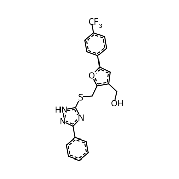 OCc1cc(-c2ccc(C(F)(F)F)cc2)oc1CSc1nc(-c2ccccc2)n[nH]1